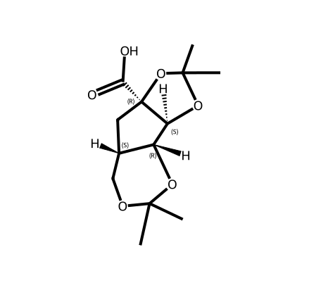 CC1(C)OC[C@@H]2C[C@@]3(C(=O)O)OC(C)(C)O[C@H]3[C@@H]2O1